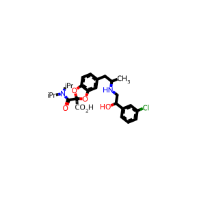 CC(Cc1ccc2c(c1)OC(C(=O)O)(C(=O)N(C(C)C)C(C)C)O2)NCC(O)c1cccc(Cl)c1